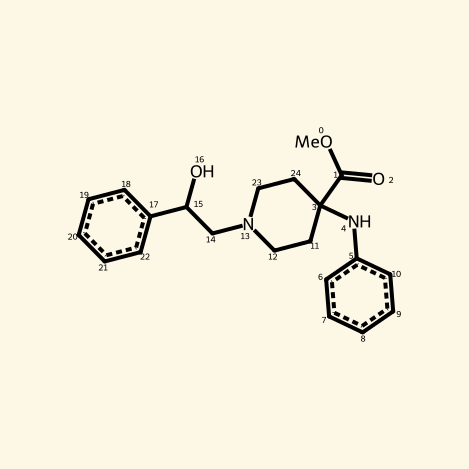 COC(=O)C1(Nc2ccccc2)CCN(CC(O)c2ccccc2)CC1